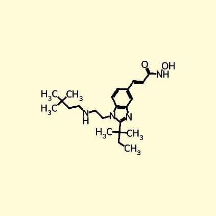 CCC(C)(C)c1nc2cc(C=CC(=O)NO)ccc2n1CCNCCC(C)(C)C